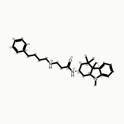 CN1c2ccccc2C2(C)C1C[C@H](NC(=O)CCNCCCCc1ccccc1)CC2(C)C